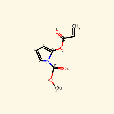 C=CC(=O)Oc1cccn1C(=O)OC(C)(C)C